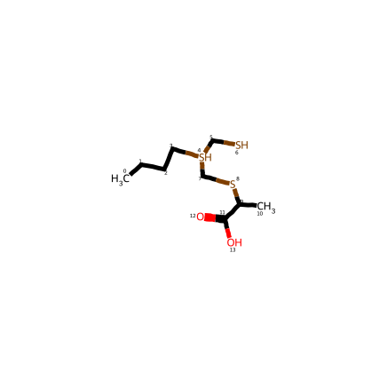 CCCC[SH](CS)CSC(C)C(=O)O